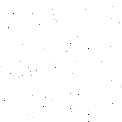 COC(=O)c1ccc2c(c1)C(=O)NC[C@@H]1CN(Cc3ccccc3)C[C@@H]21